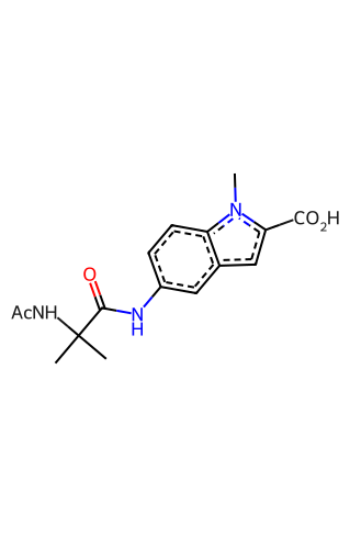 [CH2]C(=O)NC(C)(C)C(=O)Nc1ccc2c(c1)cc(C(=O)O)n2C